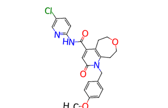 COc1ccc(Cn2c3c(c(C(=O)Nc4ccc(Cl)cn4)cc2=O)CCOCC3)cc1